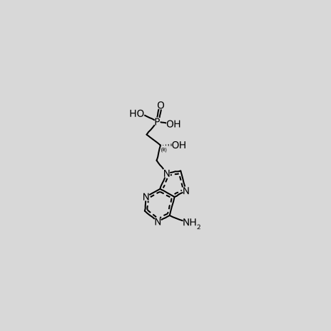 Nc1ncnc2c1ncn2C[C@@H](O)CP(=O)(O)O